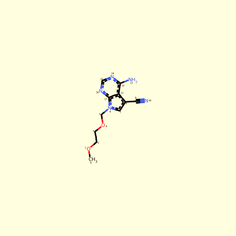 COCCOCn1cc(C#N)c2c(N)ncnc21